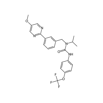 COc1cnc(-c2cccc(CN(C(=O)Nc3ccc(OC(F)(F)F)cc3)C(C)C)c2)nc1